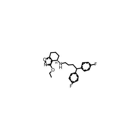 CCOc1noc2c1[C@H](NCCCC(c1ccc(F)cc1)c1ccc(F)cc1)CCC2